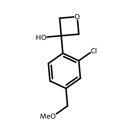 COCc1ccc(C2(O)COC2)c(Cl)c1